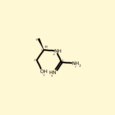 C[C@H](CO)NC(=N)N